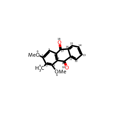 COc1cc2c(c(OC)c1C)C(=O)c1ccccc1C2=O